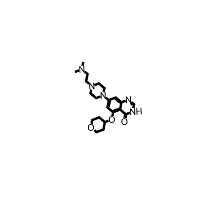 CN(C)CCN1CCN(c2cc(OC3CCOCC3)c3c(=O)[nH]cnc3c2)CC1